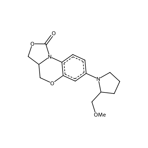 COCC1CCCN1c1ccc2c(c1)OCC1COC(=O)N21